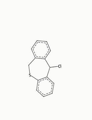 ClC1c2ccccc2CSc2ccccc21